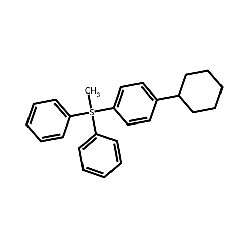 CS(c1ccccc1)(c1ccccc1)c1ccc(C2CCCCC2)cc1